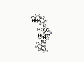 O=C(O)/C=C\C(=O)O.O=c1ccc2ccc(OCCCCN3CCN(c4cccc5sccc45)CC3)cc2[nH]1